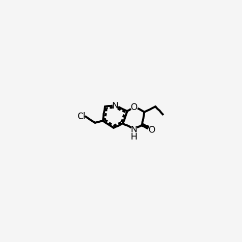 CCC1Oc2ncc(CCl)cc2NC1=O